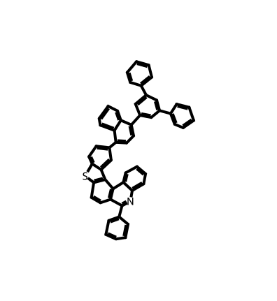 c1ccc(-c2cc(-c3ccccc3)cc(-c3ccc(-c4ccc5sc6ccc7c(-c8ccccc8)nc8ccccc8c7c6c5c4)c4ccccc34)c2)cc1